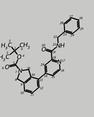 CC(C)(C)OC(=O)N1Cc2cccc(-c3ccnc(C(=O)NCc4ccccc4)c3)c2C1